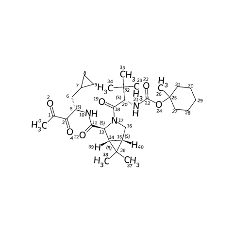 CC(=O)C(=O)[C@H](CC1CC1)NC(=O)[C@@H]1[C@@H]2[C@H](CN1C(=O)[C@@H](NC(=O)OC1(C)CCCCC1)C(C)(C)C)C2(C)C